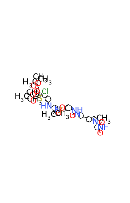 Cc1cc2cc(C3CCN(C(=O)Nc4cccc(CS(=O)(=O)N5CC[C@H](Nc6cccc(-c7sc(C(=O)OC(C)(C)C)c(OCC(=O)OC(C)(C)C)c7Cl)c6)CC5(C)C)c4)CC3)ccc2n1C1CCC(=O)NC1=O